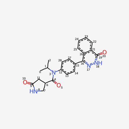 CC(C)N(C(=O)C1CNC(=O)C1)c1ccc(-c2n[nH]c(=O)c3ccccc23)cc1